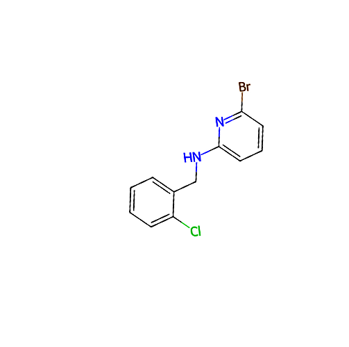 Clc1ccccc1CNc1cccc(Br)n1